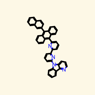 c1cc(-c2cccc(-n3c4ccccc4c4ncccc43)n2)nc(-c2c3ccccc3c(-c3ccc4ccccc4c3)c3ccccc23)c1